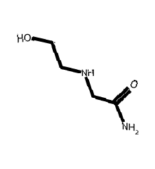 NC(=O)CNC[CH]O